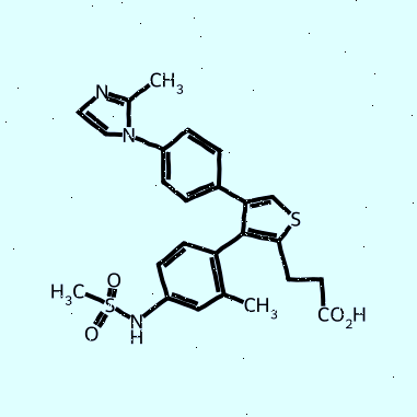 Cc1cc(NS(C)(=O)=O)ccc1-c1c(-c2ccc(-n3ccnc3C)cc2)csc1CCC(=O)O